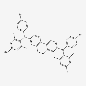 Cc1cc(C)c(N(c2ccc(Br)cc2)c2ccc3c(c2)CCc2cc(N(c4ccc(Br)cc4)c4c(C)cc(C(C)(C)C)cc4C)ccc2-3)c(C)c1